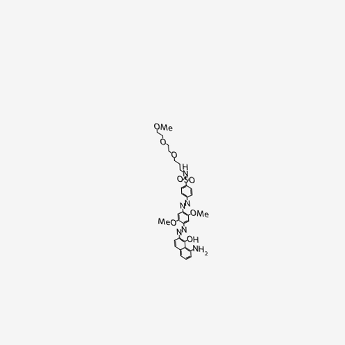 COCCOCCOCCCNS(=O)(=O)c1ccc(N=Nc2cc(OC)c(N=Nc3ccc4cccc(N)c4c3O)cc2OC)cc1